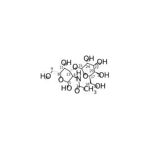 CC(=O)N[C@H]1C(O)O[C@H](CO)[C@H](O)[C@@H]1OC1O[C@H](CO)[C@H](O)[C@H](O)[C@H]1O